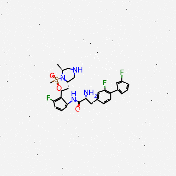 C[C@H]1CNC[C@H](CCc2c(F)cccc2NC(=O)[C@@H](N)Cc2ccc(-c3cccc(F)c3)c(F)c2)N1S(C)(=O)=O